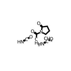 C.CC(=O)N1CCCC1=O.N=C=O.N=C=O